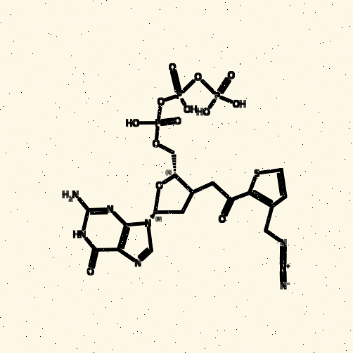 [N-]=[N+]=NCc1ccsc1C(=O)CC1C[C@H](n2cnc3c(=O)[nH]c(N)nc32)O[C@@H]1COP(=O)(O)OP(=O)(O)OP(=O)(O)O